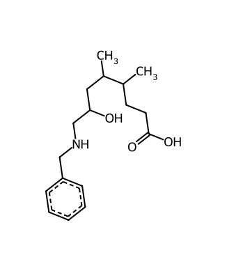 CC(CCC(=O)O)C(C)CC(O)CNCc1ccccc1